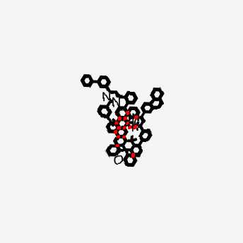 CC1(C)c2ccccc2C2(c3ccccc3Oc3ccccc32)c2cc(-c3ccccc3-c3cc(-c4cccc(-c5ccccc5)c4)nc(-c4cccc(-c5ccc(-c6ccc7c(c6)C(C)(C)c6c(-c8cccc(-c9cc(-c%10ccc%11c(ccc%12ccccc%12%11)c%10)nc(-c%10ccccc%10)n9)c8)cccc6C76c7ccccc7Oc7ccccc76)cc5)c4)n3)ccc21